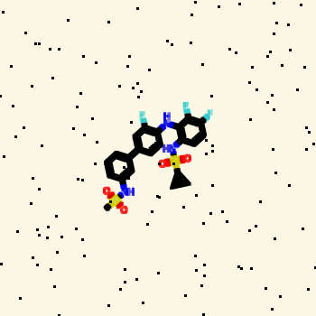 CS(=O)(=O)Nc1cccc(-c2ccc(Nc3c(NS(=O)(=O)C4CC4)ccc(F)c3F)c(F)c2)c1